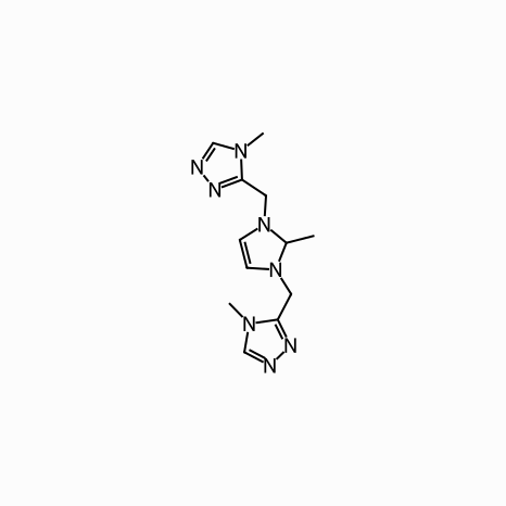 CC1N(Cc2nncn2C)C=CN1Cc1nncn1C